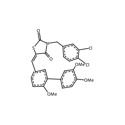 COc1ccc(-c2cc(C=C3SC(=O)N(Cc4ccc(Cl)c(Cl)c4)C3=O)ccc2OC)cc1OC